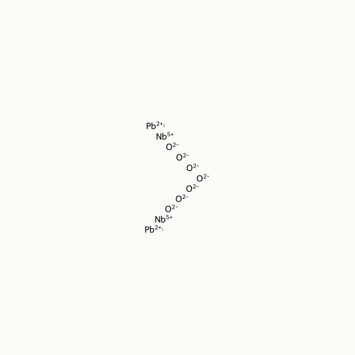 [Nb+5].[Nb+5].[O-2].[O-2].[O-2].[O-2].[O-2].[O-2].[O-2].[Pb+2].[Pb+2]